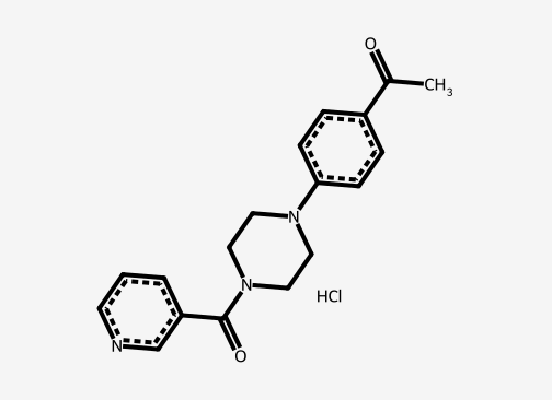 CC(=O)c1ccc(N2CCN(C(=O)c3cccnc3)CC2)cc1.Cl